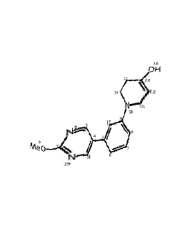 COc1ncc(-c2cccc(N3CC=C(O)CC3)c2)cn1